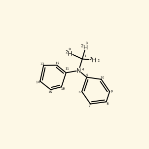 [2H]C([2H])([2H])N(c1ccccc1)c1ccccc1